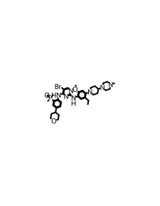 CCc1cc(Nc2ncc(Br)c(Nc3ccc(C4CCOCC4)cc3P(C)(C)=O)n2)c(OC)cc1N1CCC(N2CCN(C)CC2)CC1